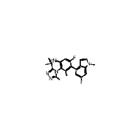 Cc1c(-c2cc(F)cc3c2ccn3C)c(F)cc2c1-n1c(C)nnc1C(C)(C)N2